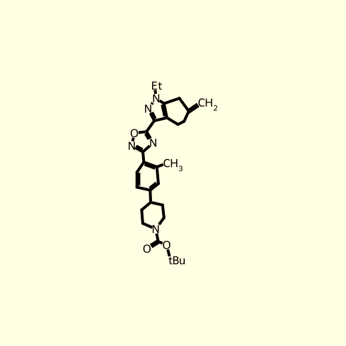 C=C1CCc2c(-c3nc(-c4ccc(C5CCN(C(=O)OC(C)(C)C)CC5)cc4C)no3)nn(CC)c2C1